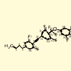 C=CCCc1cc(F)c(C#Cc2cc(F)c(C(F)(F)Oc3cc(F)c(F)c(F)c3)c(F)c2)c(F)c1